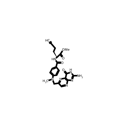 C#CCC[C@H](NC(=O)c1ccc(N(C)Cc2cnc3nc(N)[nH]c(=O)c3n2)cc1)C(=O)OC